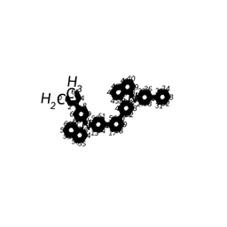 C=C/C=C(\C=C/C)c1ccc(N(c2ccc(-c3cccc(-c4ccc(N(c5ccc(-c6ccccc6)cc5)c5cccc6ccccc56)cc4)c3)cc2)c2cccc3ccccc23)cc1